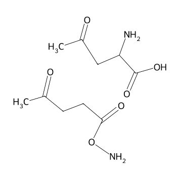 CC(=O)CC(N)C(=O)O.CC(=O)CCC(=O)ON